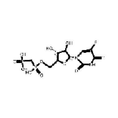 O=c1[nH]c(=O)n([C@@H]2OC(COP(=O)(O)CP(=O)(O)O)[C@H](O)C2O)cc1F